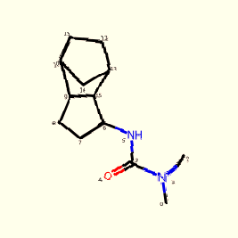 CN(C)C(=O)NC1CCC2C3CCC(C3)C12